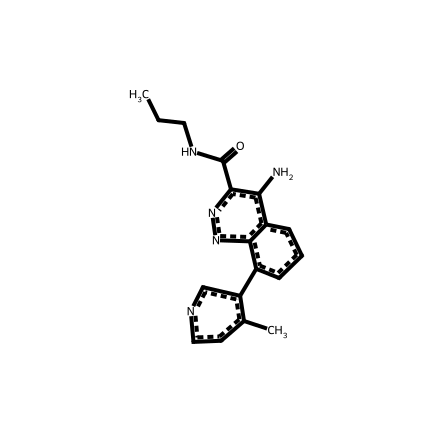 CCCNC(=O)c1nnc2c(-c3cnccc3C)cccc2c1N